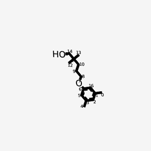 Cc1cc(C)cc(OCCCC(C)(C)CO)c1